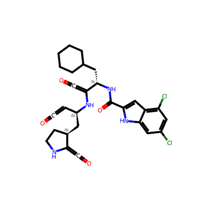 O=C=C[C@H](C[C@@H]1CCNC1=C=O)NC(=C=O)[C@H](CC1CCCCC1)NC(=O)c1cc2c(Cl)cc(Cl)cc2[nH]1